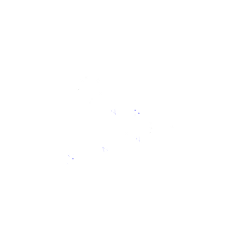 NCCN1CCC2(CC1)Nc1ccccc1N=C2NCc1cccc(Cl)c1